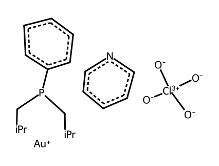 CC(C)CP(CC(C)C)c1ccccc1.[Au+].[O-][Cl+3]([O-])([O-])[O-].c1ccncc1